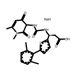 CC1=CC(=O)C(NC(=O)N[C@@H](CC(=O)O)c2ccc(-c3c(C)cccc3C)s2)C(=O)N1C.[NaH]